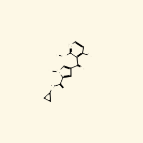 CC(C)Oc1nccc(N)c1C(=N)c1cc(C(=O)NC2CC2)n(C(C)C)c1